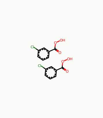 O=C(OO)c1cccc(Cl)c1.O=C(OO)c1cccc(Cl)c1